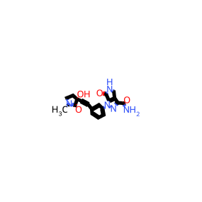 CN1CC[C@](O)(C#Cc2cccc(-n3nc(C(N)=O)c4c3C(=O)NC4)c2)C1=O